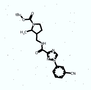 CC1C(CNC(=O)c2ncn(-c3cccc(C#N)c3)n2)CCN1C(=O)OC(C)(C)C